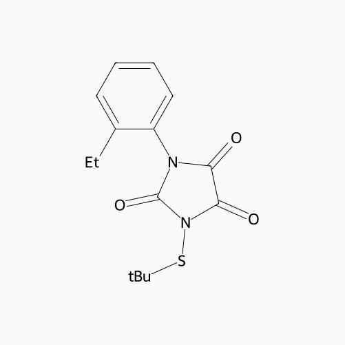 CCc1ccccc1N1C(=O)C(=O)N(SC(C)(C)C)C1=O